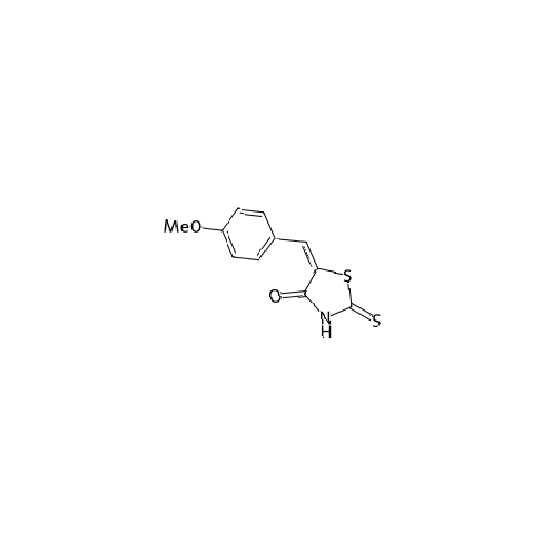 COc1ccc(C=C2SC(=S)NC2=O)cc1